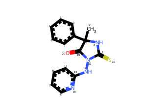 CC1(c2ccccc2)NC(=S)N(Nc2ccccn2)C1=O